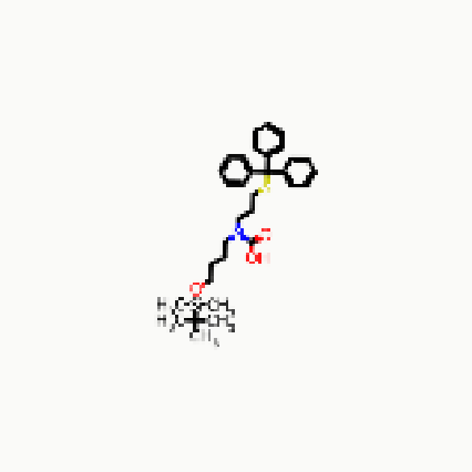 CC(C)(C)[Si](C)(C)OCCCCN(CCCSC(c1ccccc1)(c1ccccc1)c1ccccc1)C(=O)O